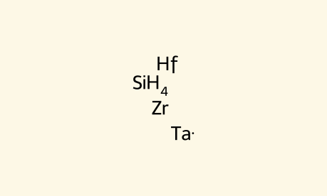 [Hf].[SiH4].[Ta].[Zr]